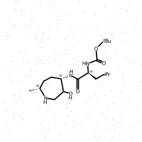 CC(C)C[C@H](NC(=O)OC(C)(C)C)C(=O)N[C@H]1CC[C@@H](C)NCC1O